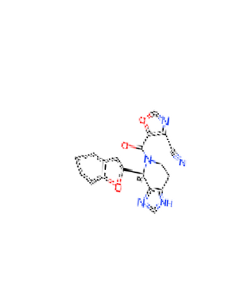 N#Cc1ncoc1C(=O)N1CCc2[nH]cnc2[C@H]1c1cc2ccccc2o1